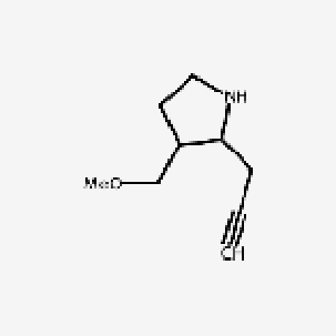 C#CCC1NCCC1COC